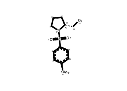 COc1ccc(S(=O)(=O)N2CCC[C@@H]2CS)cc1